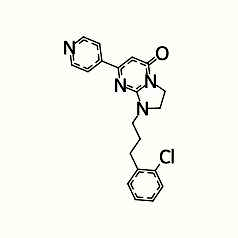 O=c1cc(-c2ccncc2)nc2n1CCN2CCCc1ccccc1Cl